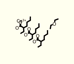 CCCCC(CC)C(=O)[O-].CCCCC(CC)C(=O)[O-].CCCCC(CC)C(=O)[O-].CCOCC.[Ce+3]